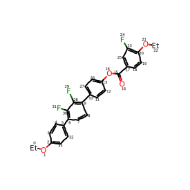 CCOc1ccc(-c2ccc(-c3ccc(OC(=O)c4ccc(OCC)c(F)c4)cc3)c(F)c2F)cc1